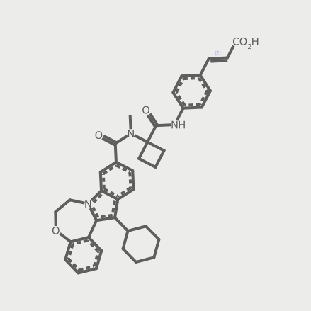 CN(C(=O)c1ccc2c(C3CCCCC3)c3n(c2c1)CCOc1ccccc1-3)C1(C(=O)Nc2ccc(/C=C/C(=O)O)cc2)CCC1